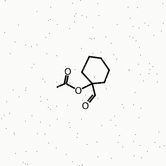 CC(=O)OC1(C=O)CCCCC1